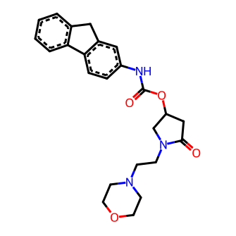 O=C(Nc1ccc2c(c1)Cc1ccccc1-2)OC1CC(=O)N(CCN2CCOCC2)C1